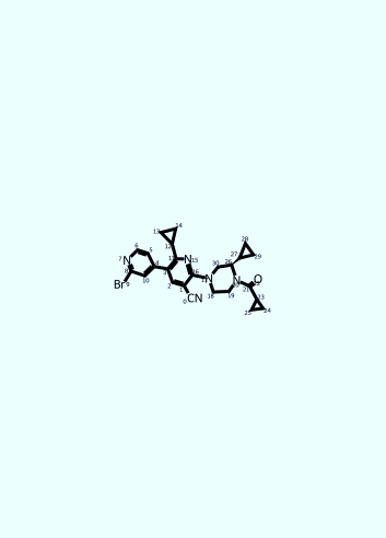 N#Cc1cc(-c2ccnc(Br)c2)c(C2CC2)nc1N1CCN(C(=O)C2CC2)[C@H](C2CC2)C1